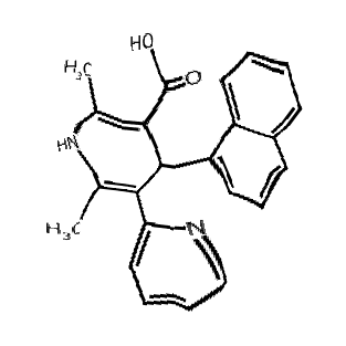 CC1=C(C(=O)O)C(c2cccc3ccccc23)C(c2ccccn2)=C(C)N1